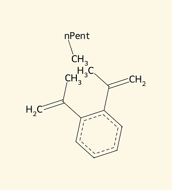 C=C(C)c1ccccc1C(=C)C.CCCCCC